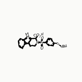 CCCCOc1ccc(S(=O)(=O)N2CCc3c([nH]c4ccccc34)C2C(=O)O)cc1